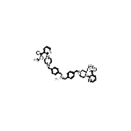 CCN(Cc1ccc(CN2CCN(c3ncccc3C(=O)OC(C)C)CC2)cc1)Cc1ccc(CN2CCN(c3ncccc3C(=O)OC(C)C)CC2)cc1